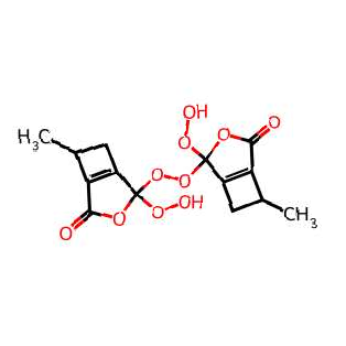 CC1CC2=C1C(=O)OC2(OO)OOC1(OO)OC(=O)C2=C1CC2C